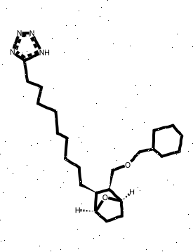 C(CCCCc1nnn[nH]1)CCCC[C@H]1[C@@H](COCC2CCCCC2)[C@H]2CC[C@@H]1O2